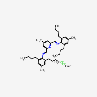 CCCCc1cc(C)cc(CCCC)c1N=Cc1cc(C)cc(C=Nc2c(CCCC)cc(C)cc2CCCC)n1.[Cl-].[Cl-].[Co+2]